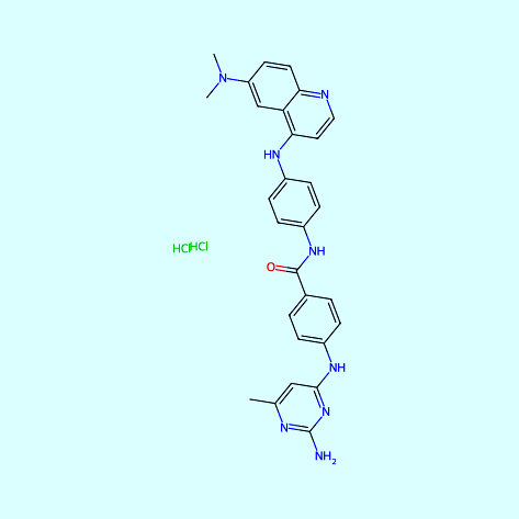 Cc1cc(Nc2ccc(C(=O)Nc3ccc(Nc4ccnc5ccc(N(C)C)cc45)cc3)cc2)nc(N)n1.Cl.Cl